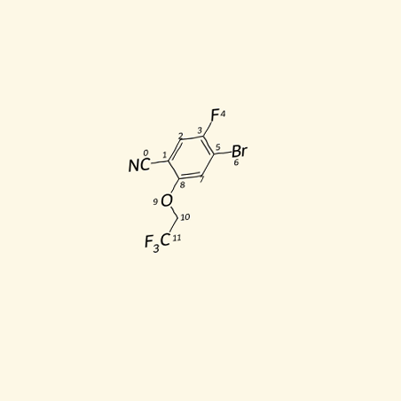 N#Cc1cc(F)c(Br)cc1OCC(F)(F)F